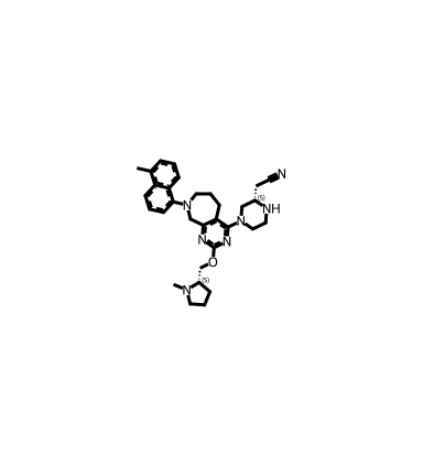 Cc1cccc2c(N3CCCc4c(nc(OC[C@@H]5CCCN5C)nc4N4CCN[C@@H](CC#N)C4)C3)cccc12